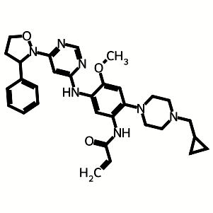 C=CC(=O)Nc1cc(Nc2cc(N3OCCC3c3ccccc3)ncn2)c(OC)cc1N1CCN(CC2CC2)CC1